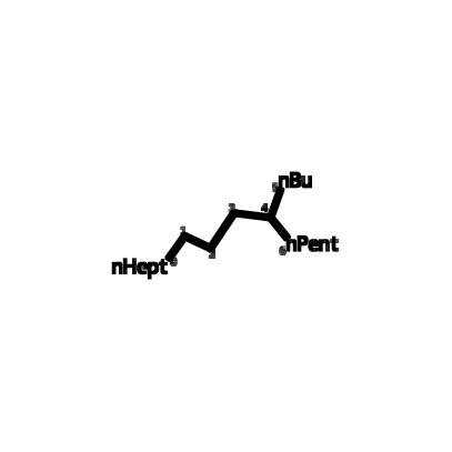 CCCCCCCCCCC(CCCC)CCCCC